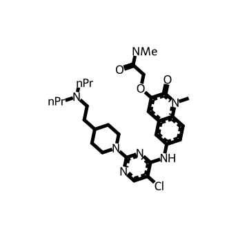 CCCN(CCC)CCC1CCN(c2ncc(Cl)c(Nc3ccc4c(c3)cc(OCC(=O)NC)c(=O)n4C)n2)CC1